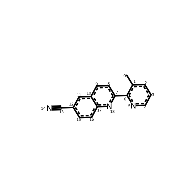 Cc1cccnc1-c1ccc2cc(C#N)ccc2n1